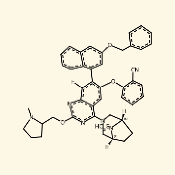 CN1CCCC1COc1nc(N2C[C@H]3CC[C@@H](C2)N3C(=O)O)c2cc(Oc3ccccc3C#N)c(-c3cc(OCc4ccccc4)cc4ccccc34)c(F)c2n1